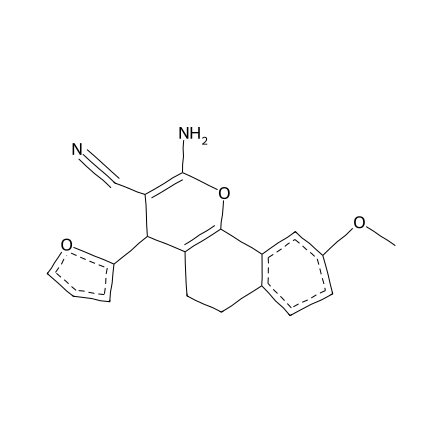 COc1ccc2c(c1)C1=C(CC2)C(c2ccco2)C(C#N)=C(N)O1